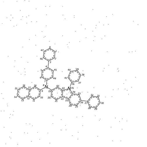 c1ccc(-c2ccc(N(c3ccc4ccccc4c3)c3ccc4c5ccc(-c6ccccc6)cc5n(-c5ccccc5)c4c3)cc2)cc1